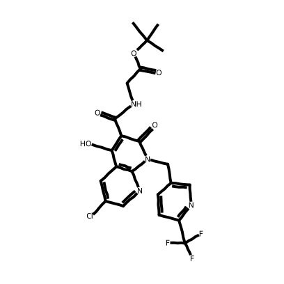 CC(C)(C)OC(=O)CNC(=O)c1c(O)c2cc(Cl)cnc2n(Cc2ccc(C(F)(F)F)nc2)c1=O